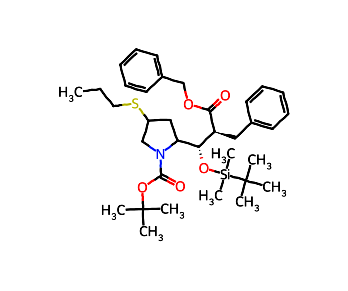 CCCSC1CC([C@@H](O[Si](C)(C)C(C)(C)C)[C@H](Cc2ccccc2)C(=O)OCc2ccccc2)N(C(=O)OC(C)(C)C)C1